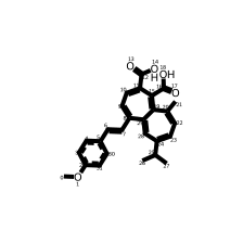 COc1ccc(/C=C/C2=CC=C(C(=O)O)C(C(=O)O)=C3C(C)=CC=C(C(C)C)C=C23)cc1